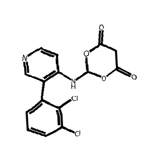 O=C1CC(=O)OC(Nc2ccncc2-c2cccc(Cl)c2Cl)O1